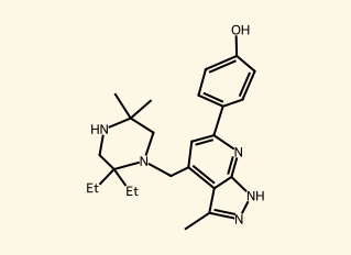 CCC1(CC)CNC(C)(C)CN1Cc1cc(-c2ccc(O)cc2)nc2[nH]nc(C)c12